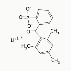 Cc1cc(C)c(C(=O)c2ccccc2P(=O)([O-])[O-])c(C)c1.[Li+].[Li+]